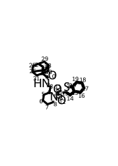 O=C(NCC1CCCCN1S(=O)(=O)c1cc2ccccc2s1)C12CC3CC(CC(C3)C1)C2